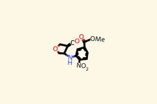 COC(=O)c1ccc([N+](=O)[O-])c(NC2COCC2=C=O)c1